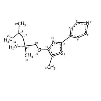 Cc1sc(-c2ccncc2)nc1OCC(C)(N)CC(C)C